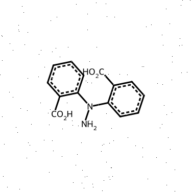 NN(c1ccccc1C(=O)O)c1ccccc1C(=O)O